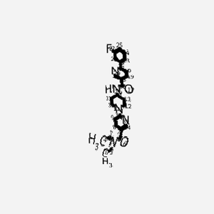 CCN(CC)C(=O)c1ccc(N2CCC(NC(=O)c3ccc(-c4cccc(F)c4)nc3)CC2)nc1